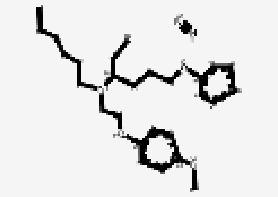 CCCCCCN(CCOc1ccc(OC)cc1)C(CC)CCCOc1ccccc1.N#N